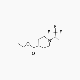 CCOC(=O)C1CCN(C(C)C(F)(F)F)CC1